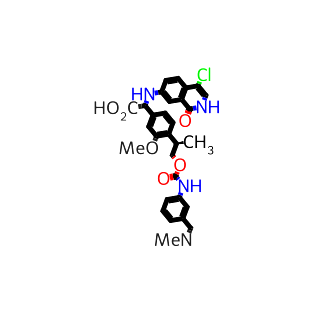 CNCc1cccc(NC(=O)OC[C@H](C)c2ccc(C(Nc3ccc4c(Cl)c[nH]c(=O)c4c3)C(=O)O)cc2OC)c1